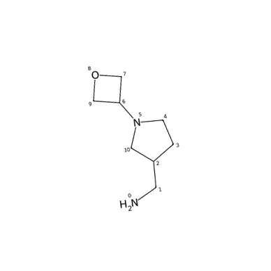 NCC1CCN(C2COC2)C1